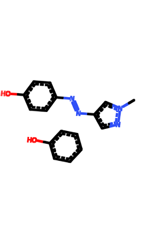 Cn1cc(N=Nc2ccc(O)cc2)cn1.Oc1ccccc1